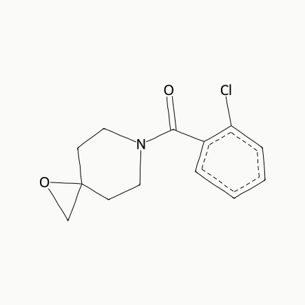 O=C(c1ccccc1Cl)N1CCC2(CC1)CO2